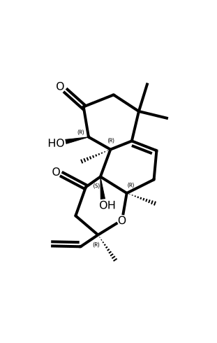 C=C[C@@]1(C)CC(=O)[C@@]2(O)[C@@](C)(CC=C3C(C)(C)CC(=O)[C@H](O)[C@@]32C)O1